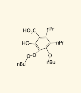 CCCCOOc1c(O)c(C(=O)O)c(CCC)c(CCC)c1OCCCC